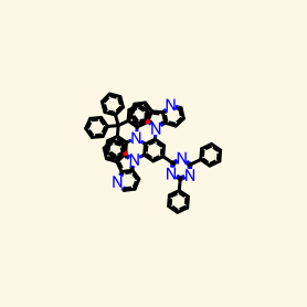 c1ccc(-c2nc(-c3ccccc3)nc(-c3cc(-n4c5ccccc5c5ncccc54)c(N4c5ccccc5C(c5ccccc5)(c5ccccc5)c5ccccc54)c(-n4c5ccccc5c5ncccc54)c3)n2)cc1